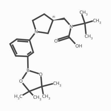 CC(C)(C)N(C[C@@H]1CCN(c2cccc(B3OC(C)(C)C(C)(C)O3)c2)C1)C(=O)O